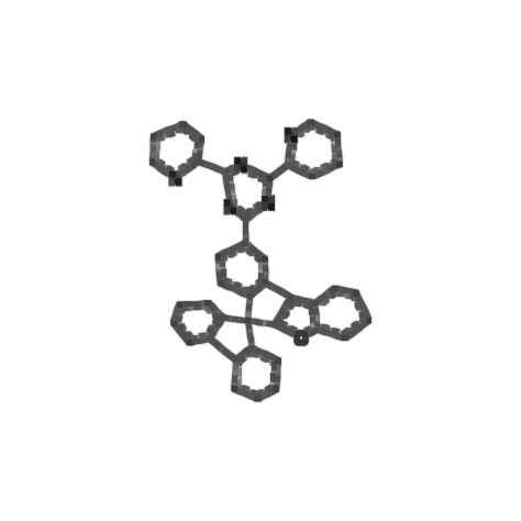 c1ccc(-c2nc(-c3ccc4c(c3)-c3c(oc5ccccc35)C43c4ccccc4-c4ccccc43)nc(-c3ccccn3)n2)nc1